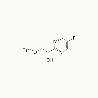 COCC(O)c1ncc(F)cn1